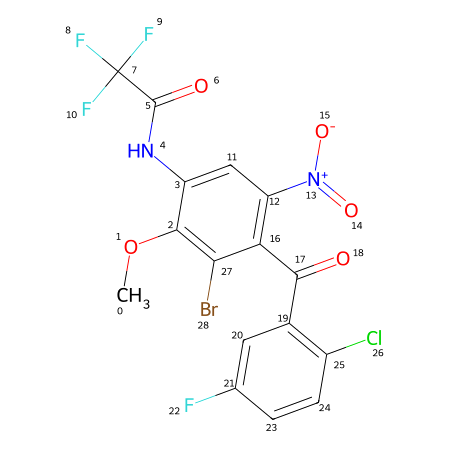 COc1c(NC(=O)C(F)(F)F)cc([N+](=O)[O-])c(C(=O)c2cc(F)ccc2Cl)c1Br